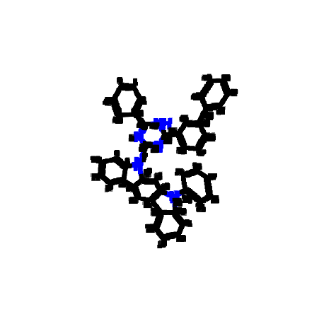 c1ccc(C2=NC(n3c4ccccc4c4cc5c6ccccc6n(-c6ccccc6)c5cc43)=NC(c3cccc(-c4ccccc4)c3)N2)cc1